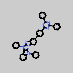 c1ccc(-c2nc(-c3ccccc3)nc(-c3ccc(-c4ccc5c(c4)nc4n(-c6ccccc6)c6c7ccccc7n(-c7ccccc7)c6n54)cc3)n2)cc1